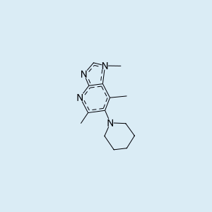 Cc1nc2ncn(C)c2c(C)c1N1CCCCC1